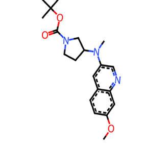 COc1ccc2cc(N(C)C3CCN(C(=O)OC(C)(C)C)C3)cnc2c1